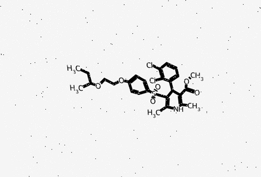 CCC(C)OCCOc1ccc(S(=O)(=O)C2=C(C)NC(C)=C(C(=O)OC)C2c2cccc(Cl)c2Cl)cc1